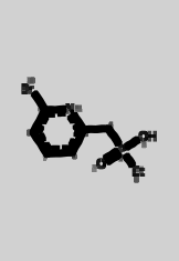 CCP(=O)(O)Cc1cccc(Br)n1